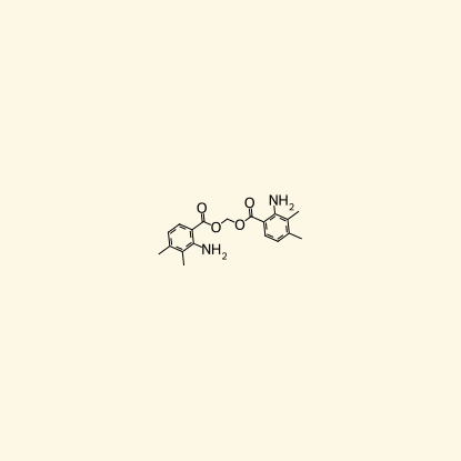 Cc1ccc(C(=O)OCOC(=O)c2ccc(C)c(C)c2N)c(N)c1C